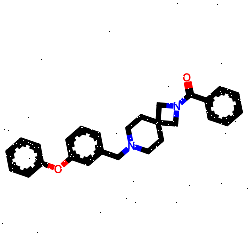 O=C(c1ccccc1)N1CC2(CCN(Cc3cccc(Oc4ccccc4)c3)CC2)C1